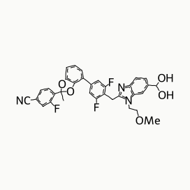 COCCn1c(Cc2c(F)cc(-c3cccc4c3OC(C)(c3ccc(C#N)cc3F)O4)cc2F)nc2ccc(C(O)O)cc21